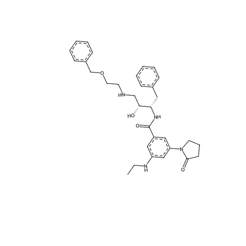 CCNc1cc(C(=O)N[C@@H](Cc2ccccc2)[C@H](O)CNCCOCc2ccccc2)cc(N2CCCC2=O)c1